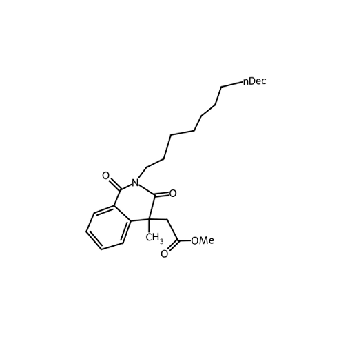 CCCCCCCCCCCCCCCCCN1C(=O)c2ccccc2C(C)(CC(=O)OC)C1=O